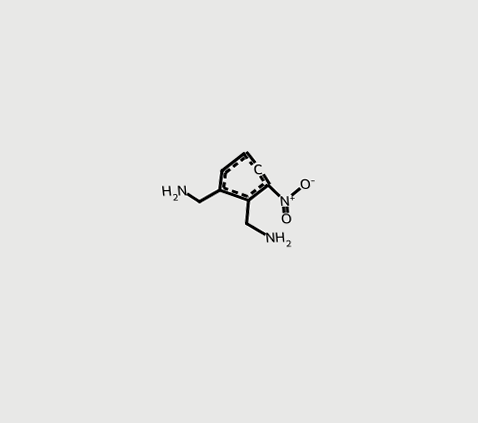 NCc1cccc([N+](=O)[O-])c1CN